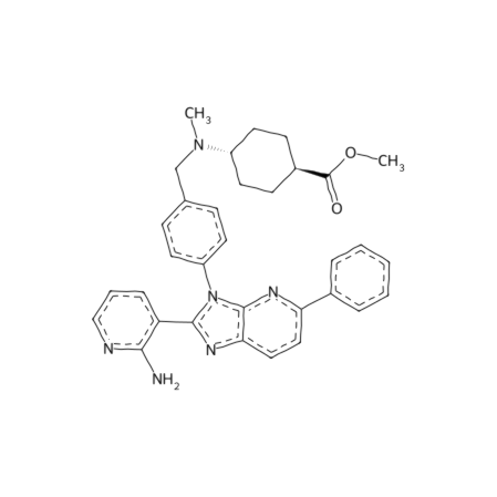 COC(=O)[C@H]1CC[C@H](N(C)Cc2ccc(-n3c(-c4cccnc4N)nc4ccc(-c5ccccc5)nc43)cc2)CC1